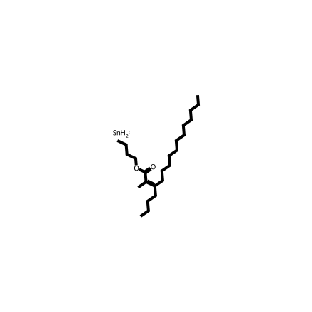 CCCCCCCCCCCCC(CCCC)=C(C)C(=O)OCCCC.[SnH2]